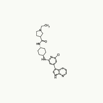 CCN1CCC(C(=O)N[C@H]2CC[C@H](Nc3cc(-c4c[nH]c5ncccc45)cc(Cl)n3)CC2)C1